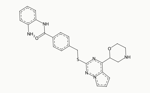 Nc1ccccc1NC(=O)c1ccc(CSc2nc(C3CNCCO3)c3cccn3n2)cc1